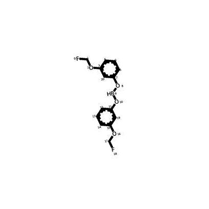 FCOc1cccc(OBOc2cccc(OCF)c2)c1